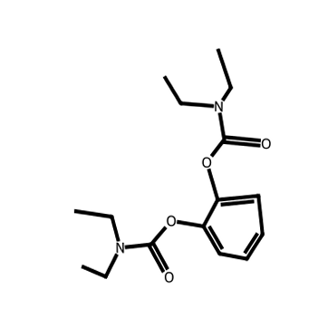 CCN(CC)C(=O)Oc1ccccc1OC(=O)N(CC)CC